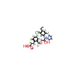 CCc1cc(C[C@@H]2CCCN2C[C@@H](O)CO[C@H](C)c2cccc(F)c2CCC(=O)O)ccc1Cl